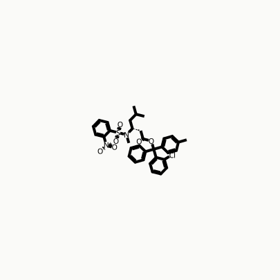 Cc1ccc(C(OC(=O)C[C@@H](CC(C)C)N(C)S(=O)(=O)c2ccccc2[N+](=O)[O-])(c2ccccc2)c2ccccc2Cl)cc1